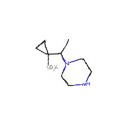 CC(N1CCNCC1)C1(C(=O)O)CC1